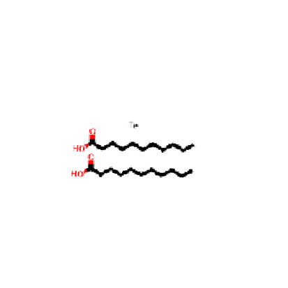 CCCCCCCCCCC(=O)O.CCCCCCCCCCC(=O)O.[Te]